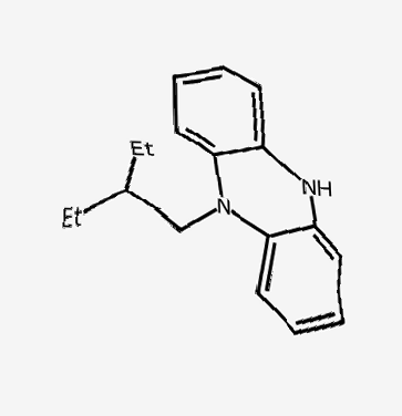 CCC(CC)CN1c2ccccc2Nc2ccccc21